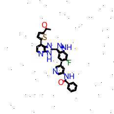 CC(=O)c1ccc(-c2ccnc3[nH]c(-c4n[nH]c5cc(F)c(-c6cncc(NC(=O)c7ccccc7)c6)cc45)nc23)s1